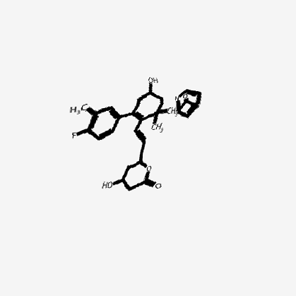 Cc1cc(C2=C(C=CC3CC(O)CC(=O)O3)C(C)(C)CC(O)C2)ccc1F.O=C1c2ccnc1c2